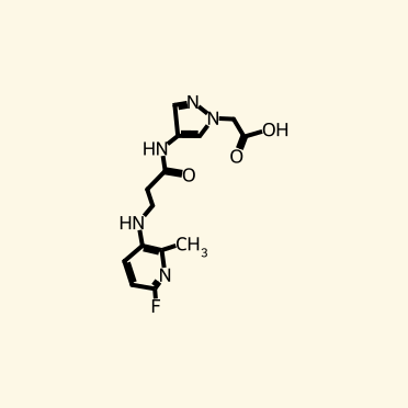 Cc1nc(F)ccc1NCCC(=O)Nc1cnn(CC(=O)O)c1